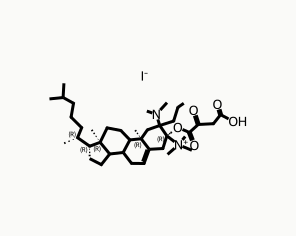 CCCC1(N(C)C)C[C@@]2(C)C(=CCC3C2CC[C@@]2(C)C3CC[C@@H]2[C@H](C)CCCC(C)C)C[C@]1(OC(=O)C(=O)CC(=O)O)[N+](C)(C)C.[I-]